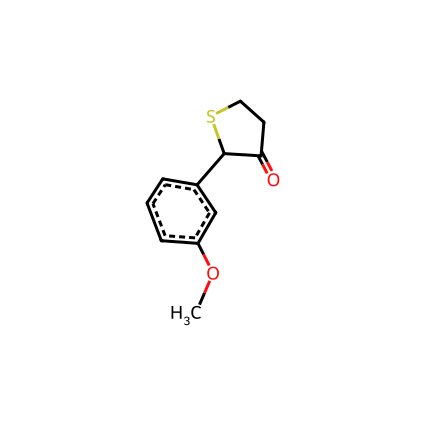 COc1cccc(C2SCCC2=O)c1